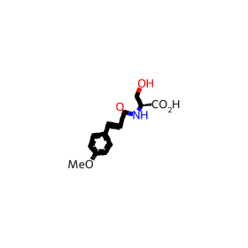 COc1ccc(/C=C/C(=O)N[C@@H](CO)C(=O)O)cc1